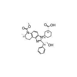 COC(=O)N1c2ccc3c(nc([C@H](CO)c4ccccc4)n3[C@@H]3CCC[C@@H](C(=O)O)C3)c2CC[C@@H]1C